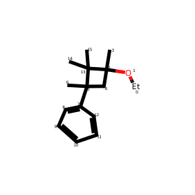 CCOC1(C)CC(C)(c2ccccc2)C1(C)C